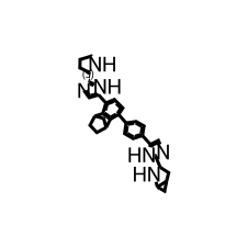 c1cc(-c2ccc(-c3cnc([C@@H]4CCCN4)[nH]3)c3c2C2CCC3C2)ccc1-c1cnc(C2CC3CC3N2)[nH]1